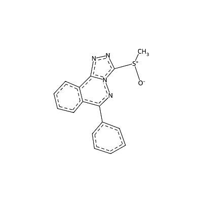 C[S+]([O-])c1nnc2c3ccccc3c(-c3ccccc3)nn12